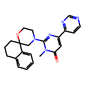 Cn1c(N2CCOC3(CCCc4ccccc43)C2)nc(-c2ccncn2)cc1=O